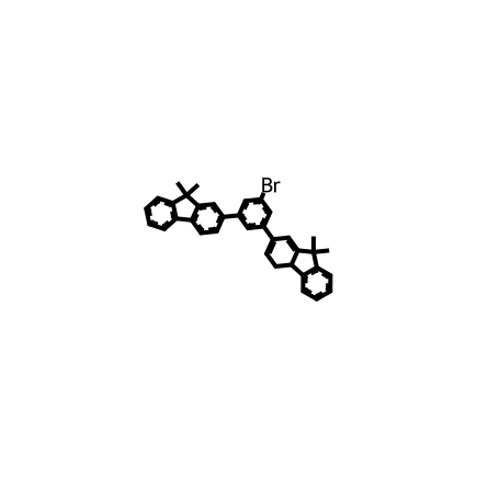 CC1(C)C2=CC(c3cc(Br)cc(-c4ccc5c(c4)C(C)(C)c4ccccc4-5)c3)=CCC2c2ccccc21